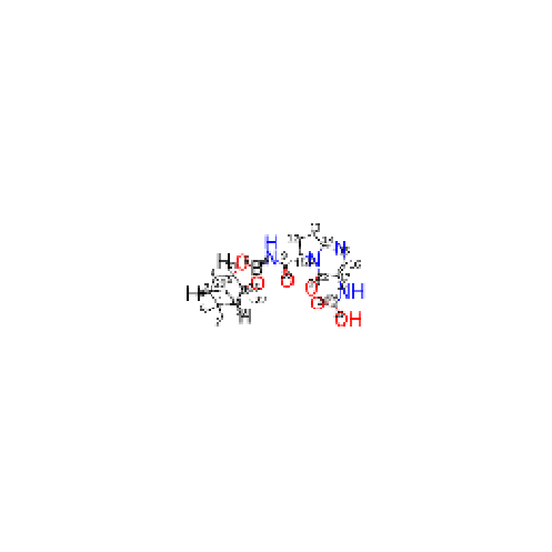 CC1(C)[C@@H]2C[C@H]3OB(NC(=O)[C@@H]4CCc5ncc(NC(=O)O)c(=O)n54)O[C@@]3(C)[C@H]1C2